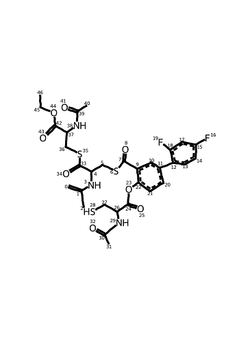 C=C(C)NC(CSC(=O)c1cc(-c2ccc(F)cc2F)ccc1OC(=O)C(CS)NC(C)=O)C(=O)SCC(NC(C)=O)C(=O)OCC